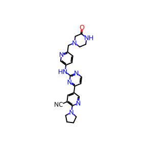 N#Cc1cc(-c2ccnc(Nc3ccc(CN4CCNC(=O)C4)nc3)n2)cnc1N1CCCC1